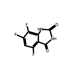 O=c1[nH]c(=O)c2c(F)cc(F)c(F)c2[nH]1